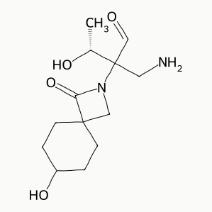 C[C@@H](O)C(C=O)(CN)N1CC2(CCC(O)CC2)C1=O